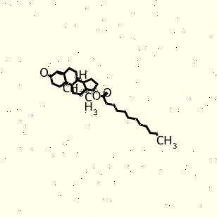 CCCCCCCCCCCC(=O)O[C@H]1CCC2[C@@H]3CCC4=CC(=O)CC[C@]4(C)C3CC[C@@]21C